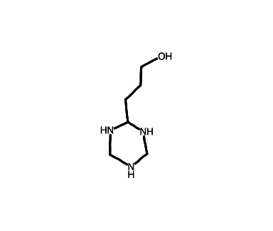 OCCCC1NCNCN1